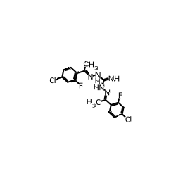 C/C(=N\NC(=N)N/N=C(\C)c1ccc(Cl)cc1F)c1ccc(Cl)cc1F